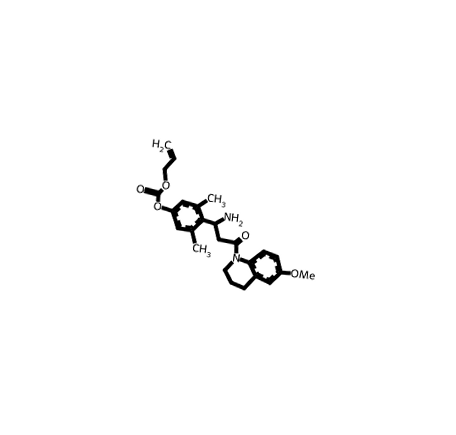 C=CCOC(=O)Oc1cc(C)c(C(N)CC(=O)N2CCCc3cc(OC)ccc32)c(C)c1